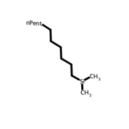 CCCCCCCCCCC[Si](C)C